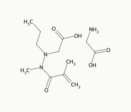 C=C(C)C(=O)N(C)N(CCC)CC(=O)O.NCC(=O)O